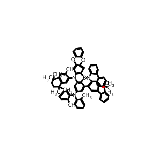 Cc1ccccc1N(c1cc2c3c(c1)N(c1cc4c(cc1C)C(C)(C)CCC4(C)C)c1cc4c(cc1B3N(c1ccccc1-c1ccccc1)c1cc3c(cc1-2)-c1ccccc1C3(C)C)Oc1ccccc1O4)c1ccccc1C